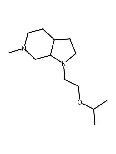 CC(C)OCCN1CCC2CCN(C)CC21